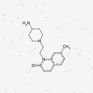 Cc1ccc2ccc(=O)n(CCN3CCC(N)CC3)c2c1